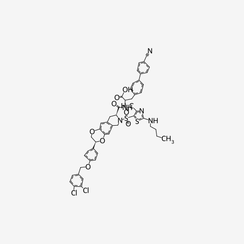 CCCCNc1nc(C)c(S(=O)(=O)N2Cc3cc4c(cc3C[C@H]2C(=O)NC(Cc2ccc(-c3ccc(C#N)cc3)cc2)C(=O)O)OC[C@H](c2ccc(OCc3ccc(Cl)c(Cl)c3)cc2)O4)s1